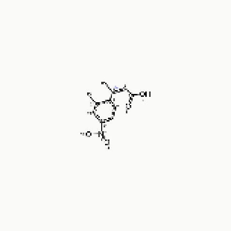 C/C(=C/C(=O)O)c1ccc([N+](=O)[O-])cc1C